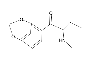 CCC(NC)C(=O)c1ccc2cc1OCO2